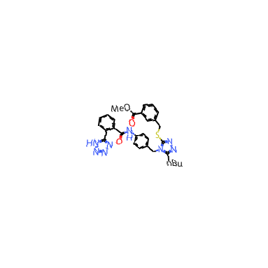 CCCCc1nnc(SCc2cccc(C(=O)OC)c2)n1Cc1ccc(NC(=O)c2ccccc2-c2nnn[nH]2)cc1